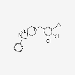 Clc1cc(CN2CCC3(CC2)CC(c2ccccc2)=NO3)cc(C2CC2)c1Cl